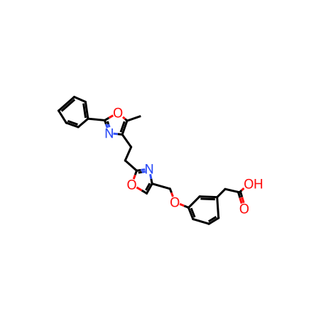 Cc1oc(-c2ccccc2)nc1CCc1nc(COc2cccc(CC(=O)O)c2)co1